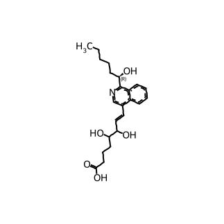 CCCCC[C@@H](O)c1ncc(C=CC(O)C(O)CCCC(=O)O)c2ccccc12